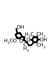 COc1cc(CO)cc2cc(C3(C)CCc4c(C)c(O)c(C)c(C)c4O3)oc12